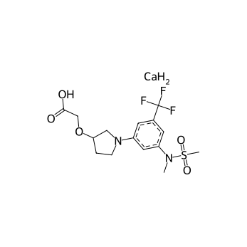 CN(c1cc(N2CCC(OCC(=O)O)C2)cc(C(F)(F)F)c1)S(C)(=O)=O.[CaH2]